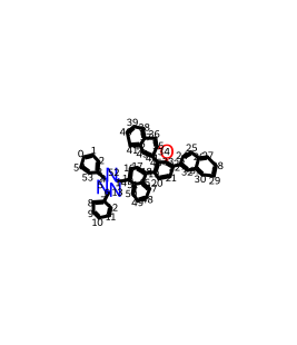 c1ccc(-c2nc(-c3ccccc3)nc(-c3ccc(-c4ccc(-c5ccc6ccccc6c5)c5oc6cc7ccccc7cc6c45)c4ccccc34)n2)cc1